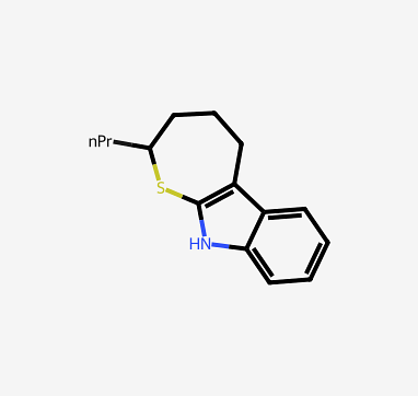 CCCC1CCCc2c([nH]c3ccccc23)S1